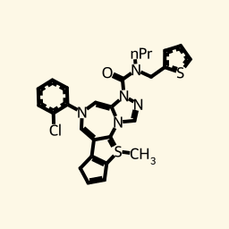 CCCN(Cc1cccs1)C(=O)N1N=CN2C1=CN(c1ccccc1Cl)C=C1C3=C(C=CC3)S(C)=C12